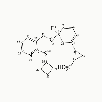 O=C(O)C1CC1C1=CC=CC(F)(OCc2cccnc2SC2CCC2)C1